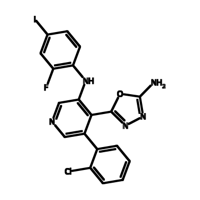 Nc1nnc(-c2c(Nc3ccc(I)cc3F)cncc2-c2ccccc2Cl)o1